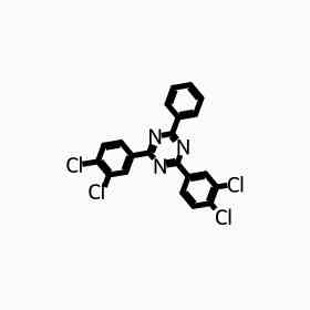 Clc1ccc(-c2nc(-c3ccccc3)nc(-c3ccc(Cl)c(Cl)c3)n2)cc1Cl